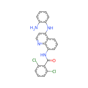 Nc1ccccc1Nc1ccnc2c(NC(=O)c3c(Cl)cccc3Cl)cccc12